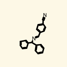 N#Cc1ccc(C=NC(c2ccccc2)c2ccccc2)cc1